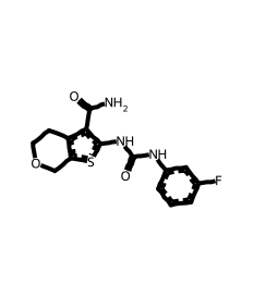 NC(=O)c1c(NC(=O)Nc2cccc(F)c2)sc2c1CCOC2